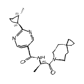 C[C@@H](NC(=O)c1cnc([C@H]2C[C@@H]2C)nc1)C(=O)N1CCC2(CC1)CC2